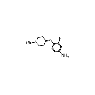 CC(C)(C)N1CCC(=Cc2ccc(N)cc2F)CC1